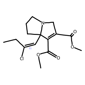 CC/C(Cl)=C\C12CCCN1CC(C(=O)OC)=C2C(=O)OC